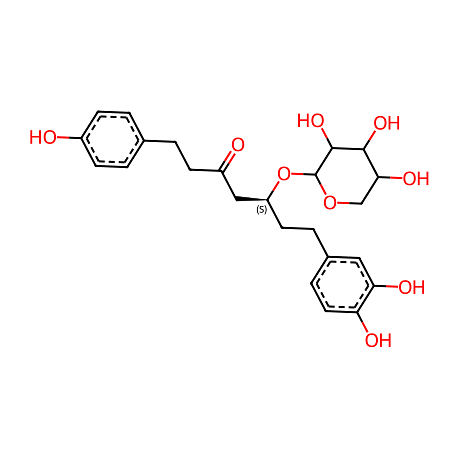 O=C(CCc1ccc(O)cc1)C[C@H](CCc1ccc(O)c(O)c1)OC1OCC(O)C(O)C1O